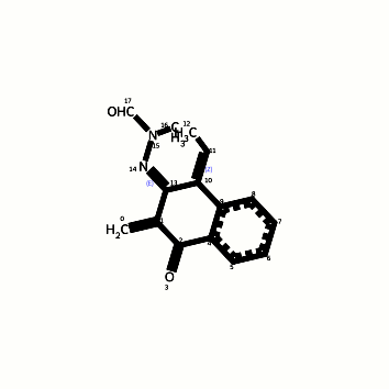 C=C1C(=O)c2ccccc2C(=C/C)/C1=N\N(C)C=O